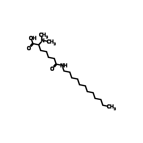 CCCCCCCCCCCCNC(=O)CCCCC(C(=O)O)N(C)C